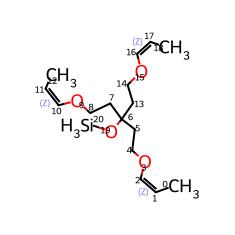 C/C=C\OCCC(CCO/C=C\C)(CCO/C=C\C)O[SiH3]